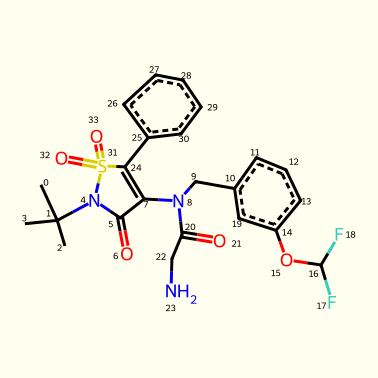 CC(C)(C)N1C(=O)C(N(Cc2cccc(OC(F)F)c2)C(=O)CN)=C(c2ccccc2)S1(=O)=O